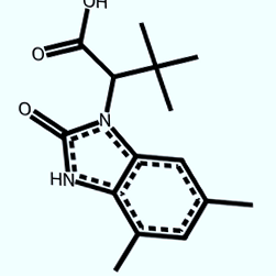 Cc1cc(C)c2[nH]c(=O)n(C(C(=O)O)C(C)(C)C)c2c1